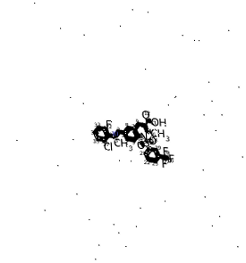 C/C(=C\c1ccc2c(c1)C[C@@H](C(=O)O)[C@@H](C)N2S(=O)(=O)c1cccc(C(F)(F)F)c1)c1c(F)cccc1Cl